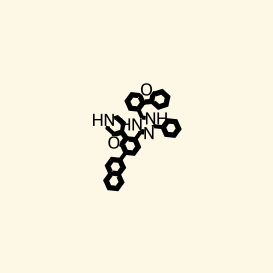 C1=Cc2c(oc3c(-c4ccc5ccccc5c4)ccc(C4=NC(c5ccccc5)NC(c5cccc6oc7ccccc7c56)N4)c23)CN1